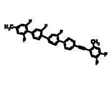 Cc1cc(F)c(-c2ccc(-c3ccc(-c4ccc(C#Cc5cc(F)c(F)cc5C)cc4)c(F)c3)c(F)c2)c(F)c1